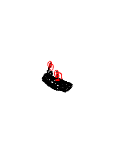 COC(=O)CCCC1(c2ccccc2)C23c4c5c6c7c8c9c(c%10c%11c2c2c4c4c%12c5c5c6c6c8c8c%13c%14c%15c%16c%17c%18c%19c%20c%21c%22c%23c(c%14c%14c%24c%23c%23c%22c%22c%20c(c2c%22c%11c%23c%10c%24c9c%148)c4c%19c%12c%17c5c%16c%136)C%152C(CCCC(=O)OC)(c4ccccc4)C%18%212)C713